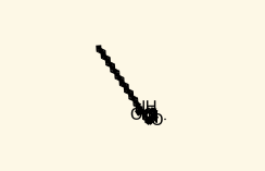 CCCCCCCCCCCCCCCCCCNC(=O)C1CC(C)(C)N([O])C(C)(C)C1